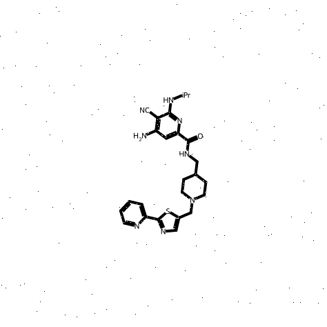 CC(C)Nc1nc(C(=O)NCC2CCN(Cc3cnc(-c4ccccn4)s3)CC2)cc(N)c1C#N